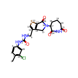 Cc1ccc(NC(=O)NCc2csc3c2CN(C2CCCC(=O)NC2=O)C3=O)cc1Cl